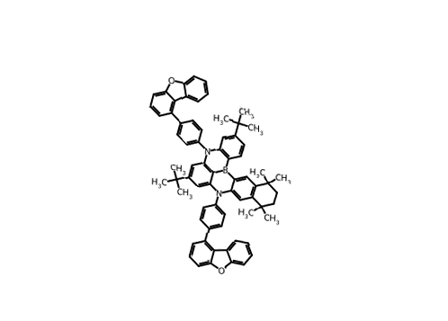 CC(C)(C)c1ccc2c(c1)N(c1ccc(-c3cccc4oc5ccccc5c34)cc1)c1cc(C(C)(C)C)cc3c1B2c1cc2c(cc1N3c1ccc(-c3cccc4oc5ccccc5c34)cc1)C(C)(C)CCC2(C)C